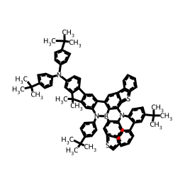 CC(C)(C)c1ccc(N2B3c4cc5sccc5cc4N(c4ccc(C(C)(C)C)cc4-c4ccccc4)c4c3c(cc3c4sc4ccccc43)-c3cc4c(cc32)C(C)(C)c2cc(N(c3ccc(C(C)(C)C)cc3)c3ccc(C(C)(C)C)cc3)ccc2-4)cc1